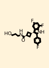 O=C(NCCCO)[C@H]1C[C@H](c2c(-c3ccc(F)cc3)[nH]c3c(F)cc(F)cc32)C1